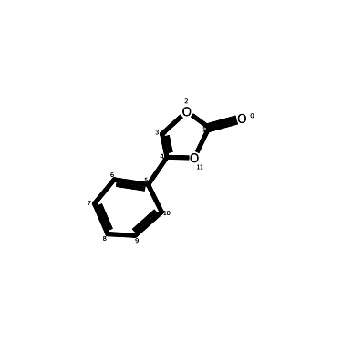 O=c1o[c]c(-c2ccccc2)o1